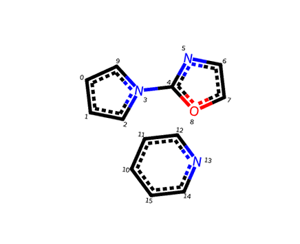 c1ccn(-c2ncco2)c1.c1ccncc1